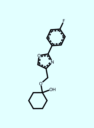 OC1(OCc2coc(-c3ccc(F)cc3)n2)CCCCC1